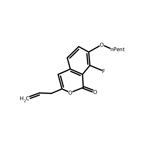 C=CCc1cc2ccc(OCCCCC)c(F)c2c(=O)o1